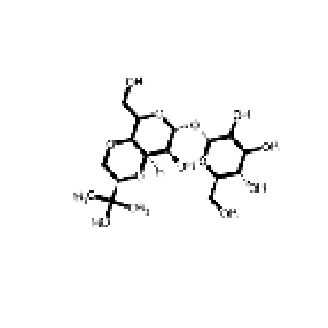 CC(C)(O)[C@H]1COC2C(CO)O[C@H](O[C@H]3O[C@H](CO)[C@@H](O)C(O)C3O)[C@@H](O)[C@H]2O1